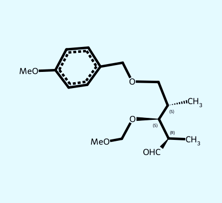 COCO[C@H]([C@@H](C)C=O)[C@@H](C)COCc1ccc(OC)cc1